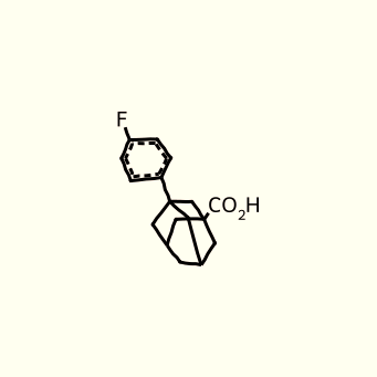 O=C(O)C12CC3CC(C1)CC(c1ccc(F)cc1)(C3)C2